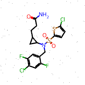 NC(=O)CCC1CC1N(Cc1cc(F)c(Cl)cc1F)S(=O)(=O)c1ccc(Cl)s1